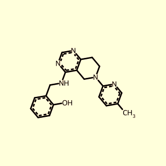 Cc1ccc(N2CCc3ncnc(NCc4ccccc4O)c3C2)nc1